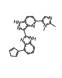 Cc1ncc(-c2ccc3[nH]nc(-c4nc5c(C6=CCC=C6)cccc5[nH]4)c3n2)n1C